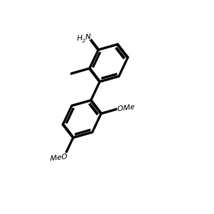 COc1ccc(-c2cccc(N)c2C)c(OC)c1